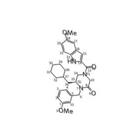 COc1cccc(CN2C(=O)CN(C(=O)c3cc4cc(OC)ccc4[nH]3)C[C@@H]2CC2CCCCC2)c1